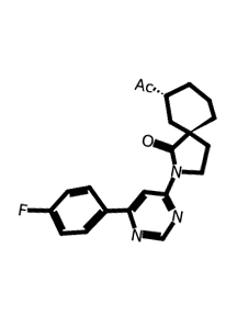 CC(=O)[C@@H]1CCC[C@]2(CCN(c3cc(-c4ccc(F)cc4)ncn3)C2=O)C1